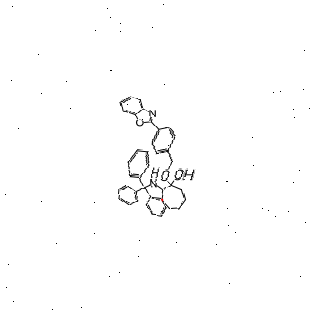 OC1(OCc2ccc(-c3nc4ccccc4o3)cc2)CCCCCC1NC(c1ccccc1)(c1ccccc1)c1ccccc1